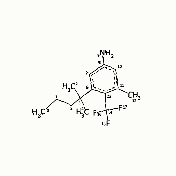 CCCC(C)(C)c1cc(N)cc(C)c1C(F)(F)F